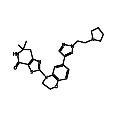 CC1(C)Cc2nc(N3CCOc4ccc(-c5cnn(CCN6CCCC6)c5)cc43)sc2C(=O)N1